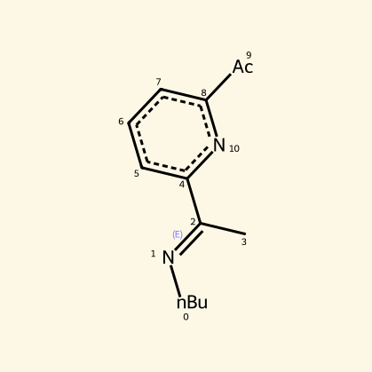 CCCC/N=C(\C)c1cccc(C(C)=O)n1